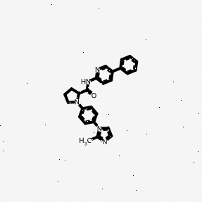 Cc1nccn1-c1ccc(N2CCCC2C(=O)Nc2ccc(-c3ccccc3)cn2)cc1